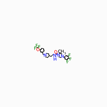 C[C@@H]1CN(c2cc(F)c(F)c(F)c2)CCN1C(=O)NCCC1CCN(Cc2cccc(OC(F)(F)F)c2)CC1